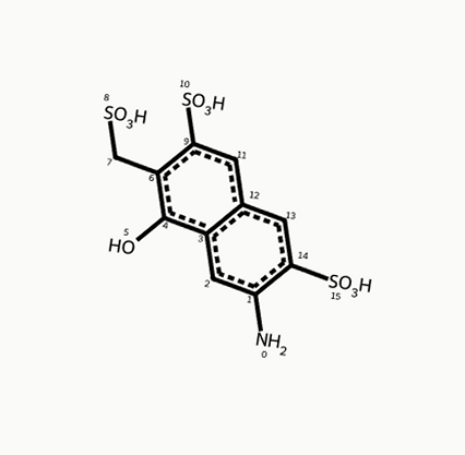 Nc1cc2c(O)c(CS(=O)(=O)O)c(S(=O)(=O)O)cc2cc1S(=O)(=O)O